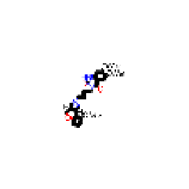 COc1cc2[nH]c(=O)n(CCCCN3C[C@@H]4COc5cccc(OC)c5[C@@H]4C3)c(=O)c2cc1OC